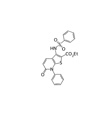 CCOC(=O)c1sc2c(ccc(=O)n2-c2ccccc2)c1NS(=O)(=O)c1ccccc1